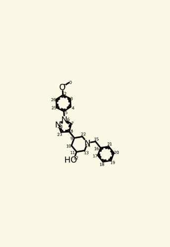 COc1ccc(-n2cc(C3CC(O)CN(Cc4ccccc4)C3)cn2)cc1